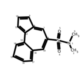 CN(C)S(=O)(=O)c1cc2cccc-2c2ccccc2c1